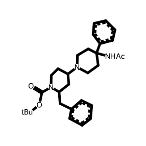 CC(=O)NC1(c2ccccc2)CCN(C2CCN(C(=O)OC(C)(C)C)C(Cc3ccccc3)C2)CC1